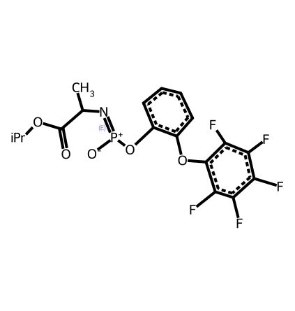 CC(C)OC(=O)C(C)/N=[P+](\[O-])Oc1ccccc1Oc1c(F)c(F)c(F)c(F)c1F